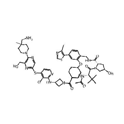 CC(=O)N[C@H](C(=O)N1C[C@H](O)C[C@H]1C(=O)NCc1ccc(-c2scnc2C)cc1OC1CCC(C(=O)N2CC(Nc3nccc(Sc4cnc(N5CCC(C)(CN)CC5)c(CO)n4)c3Cl)C2)CC1)C(C)(C)C